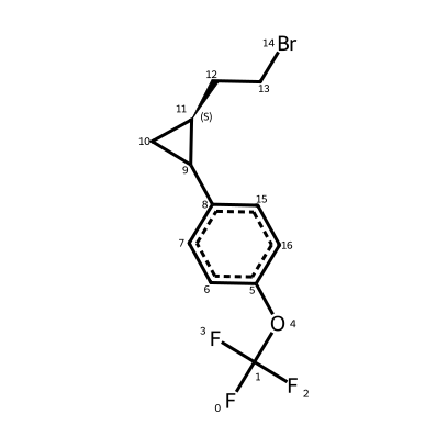 FC(F)(F)Oc1ccc(C2C[C@H]2CCBr)cc1